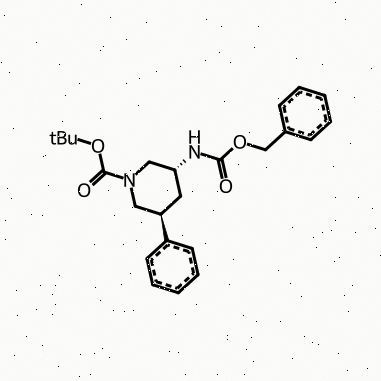 CC(C)(C)OC(=O)N1C[C@H](NC(=O)OCc2ccccc2)C[C@@H](c2ccccc2)C1